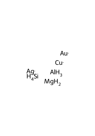 [Ag].[AlH3].[Au].[Cu].[MgH2].[SiH4]